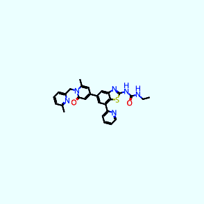 CCNC(=O)Nc1nc2cc(-c3cc(C)n(Cc4cccc(C)n4)c(=O)c3)cc(-c3ccccn3)c2s1